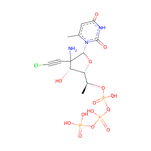 Cc1cc(=O)[nH]c(=O)n1[C@@H]1O[C@H]([C@H](C)OP(=O)(O)OP(=O)(O)OP(=O)(O)O)[C@H](O)C1(N)C#CCl